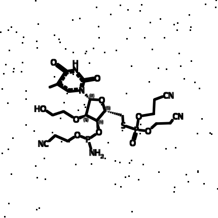 Cc1cn([C@@H]2O[C@H](CSP(=O)(OCCC#N)OCCC#N)[C@@H](OP(N)OCCC#N)[C@H]2OCCO)c(=O)[nH]c1=O